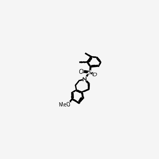 COc1ccc2c(c1)CCN(S(=O)(=O)c1cccc(C)c1C)CC2